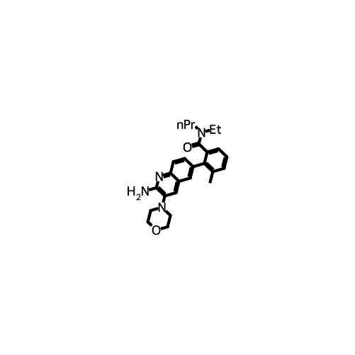 CCCN(CC)C(=O)c1cccc(C)c1-c1ccc2nc(N)c(N3CCOCC3)cc2c1